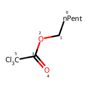 CCCCCCOC(=O)C(Cl)(Cl)Cl